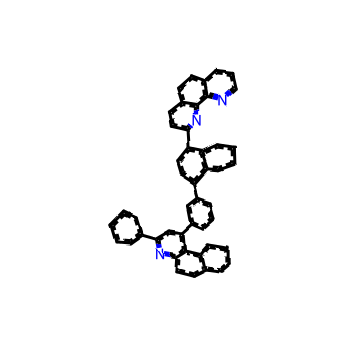 c1ccc(-c2cc(-c3cccc(-c4ccc(-c5ccc6ccc7cccnc7c6n5)c5ccccc45)c3)c3c(ccc4ccccc43)n2)cc1